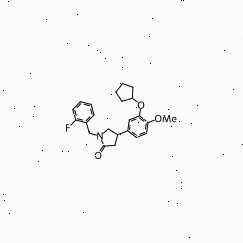 COc1ccc(C2CC(=O)N(Cc3ccccc3F)C2)cc1OC1CCCC1